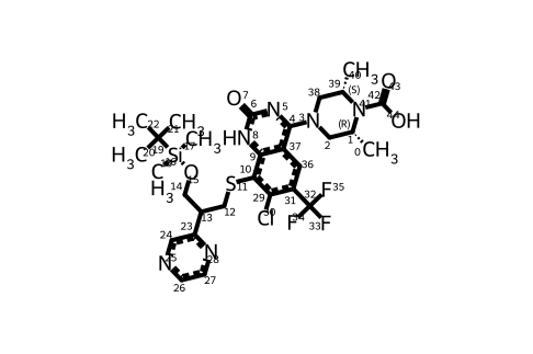 C[C@@H]1CN(c2nc(=O)[nH]c3c(SCC(CO[Si](C)(C)C(C)(C)C)c4cnccn4)c(Cl)c(C(F)(F)F)cc23)C[C@H](C)N1C(=O)O